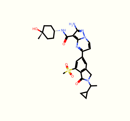 CC(C1CC1)N1Cc2cc(-c3ccn4nc(N)c(C(=O)N[C@H]5CC[C@@](C)(O)CC5)c4n3)cc(S(C)(=O)=O)c2C1=O